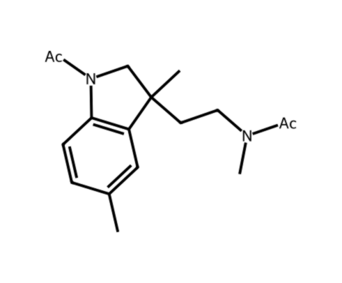 CC(=O)N(C)CCC1(C)CN(C(C)=O)c2ccc(C)cc21